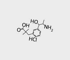 CC(N)C(O)c1cccc(CC(C)(C)C(=O)O)c1.Cl